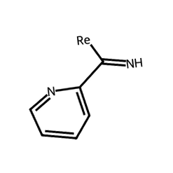 N=[C]([Re])c1ccccn1